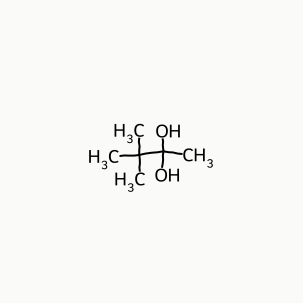 CC(C)(C)C(C)(O)O